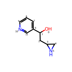 OC(CC1CN1)c1cccnc1